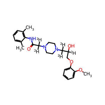 [2H]C([2H])(C(=O)Nc1c(C)cccc1C)N1CCN(C([2H])([2H])C([2H])(O)COc2ccccc2OC)CC1